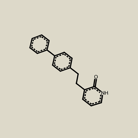 O=c1[nH]cccc1CCc1ccc(-c2ccccc2)cc1